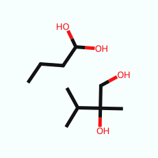 CC(C)C(C)(O)CO.CCCC(O)O